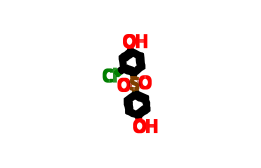 O=S(=O)(c1ccc(O)cc1)c1ccc(O)cc1Cl